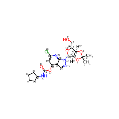 CC1(C)O[C@@H]2[C@H](O1)[C@@H](CO)O[C@H]2n1ncc2c(OC(=O)NC3CCCC3)cc(Cl)nc21